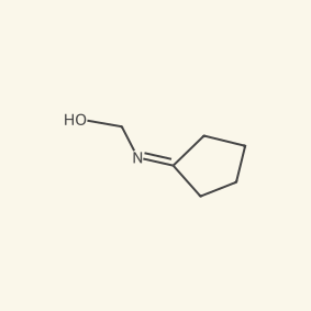 OCN=C1CCCC1